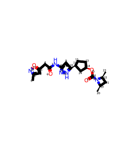 Cc1cc(CC(=O)Nc2cc([C@H]3CC[C@@H](OC(=O)N4[C@H](C)C[C@@H]4C)C3)[nH]n2)on1